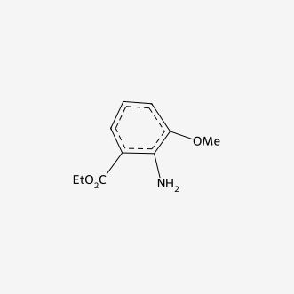 CCOC(=O)c1cccc(OC)c1N